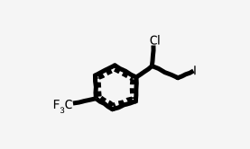 FC(F)(F)c1ccc(C(Cl)CI)cc1